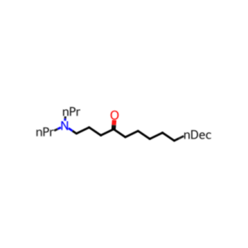 CCCCCCCCCCCCCCCC(=O)CCCN(CCC)CCC